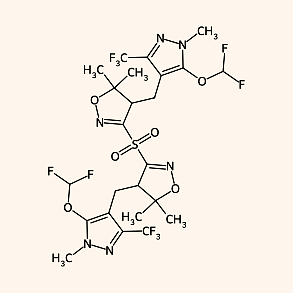 Cn1nc(C(F)(F)F)c(CC2C(S(=O)(=O)C3=NOC(C)(C)C3Cc3c(C(F)(F)F)nn(C)c3OC(F)F)=NOC2(C)C)c1OC(F)F